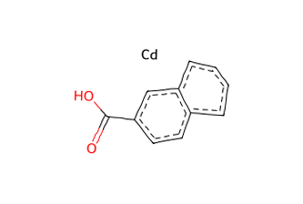 O=C(O)c1ccc2ccccc2c1.[Cd]